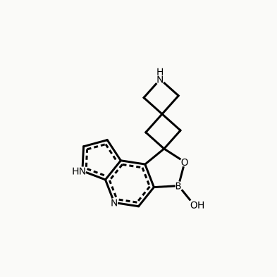 OB1OC2(CC3(CNC3)C2)c2c1cnc1[nH]ccc21